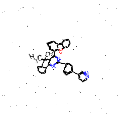 CC1(C)c2ccccc2-c2nc(-c3ccc(-c4cccnc4)cc3)nc(-c3cccc4c3oc3ccccc34)c21